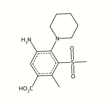 Cc1c(C(=O)O)cc(N)c(N2CCCCC2)c1S(C)(=O)=O